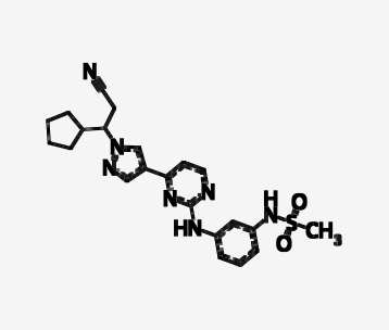 CS(=O)(=O)Nc1cccc(Nc2nccc(-c3cnn(C(CC#N)C4CCCC4)c3)n2)c1